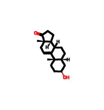 C[C@]12CC[C@@H](O)C[C@@H]1CC[C@@H]1C2=CC[C@]2(C)C(=O)CC[C@@H]12